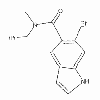 CCc1cc2[nH]ccc2cc1C(=O)N(C)CC(C)C